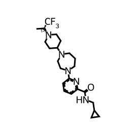 C[C@H](N1CCC(N2CCCN(c3cccc(C(=O)NCC4CC4)n3)CC2)CC1)C(F)(F)F